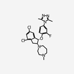 Cc1nnc(C)n1-c1ccc(O[C@H]2c3cc(Cl)cc(Cl)c3C[C@@H]2N2CCCN(C)CC2)c(F)c1